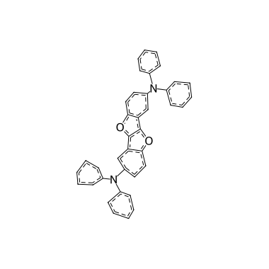 c1ccc(N(c2ccccc2)c2ccc3oc4c5cc(N(c6ccccc6)c6ccccc6)ccc5oc4c3c2)cc1